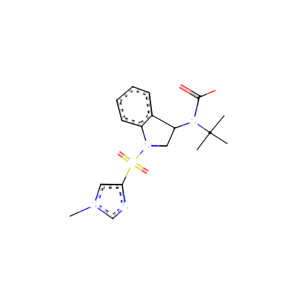 Cn1cnc(S(=O)(=O)N2CC(N(C(=O)O)C(C)(C)C)c3ccccc32)c1